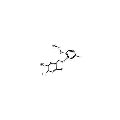 Cc1cc(OCc2nc(O)c(S)cc2F)c(SSS)cn1